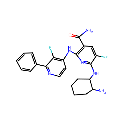 NC(=O)c1cc(F)c(NC2CCCCC2N)nc1Nc1ccnc(-c2ccccc2)c1F